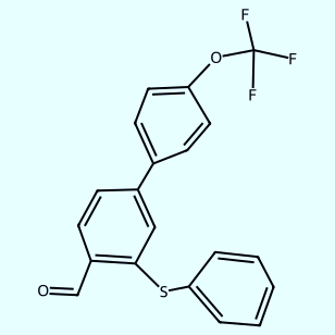 O=Cc1ccc(-c2ccc(OC(F)(F)F)cc2)cc1Sc1ccccc1